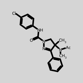 CC(=O)N(C)C1(C)CN(C(=O)Nc2ccc(Cl)cc2)N=C1c1ccccc1